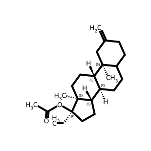 C=C1CCC2CC[C@@H]3[C@H](CC[C@@]4(C)[C@H]3CC[C@@]4(CC)OC(C)=O)[C@@]2(C)C1